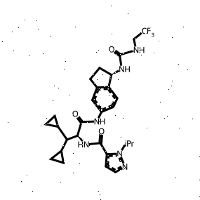 CC(C)n1nccc1C(=O)N[C@H](C(=O)Nc1ccc2c(c1)CC[C@H]2NC(=O)NCC(F)(F)F)C(C1CC1)C1CC1